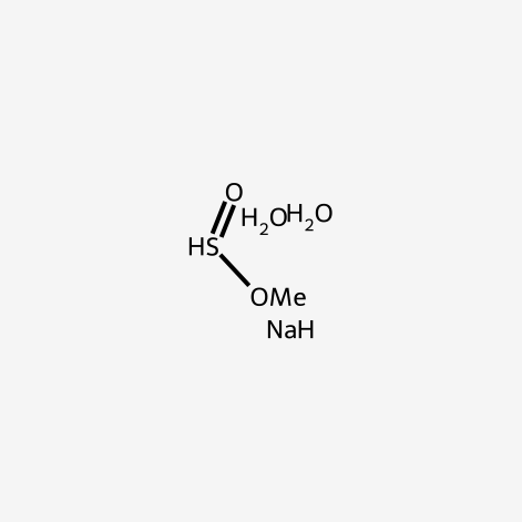 CO[SH]=O.O.O.[NaH]